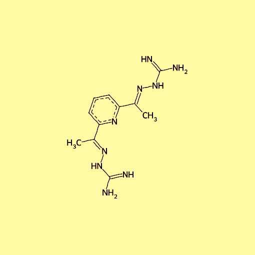 CC(=NNC(=N)N)c1cccc(C(C)=NNC(=N)N)n1